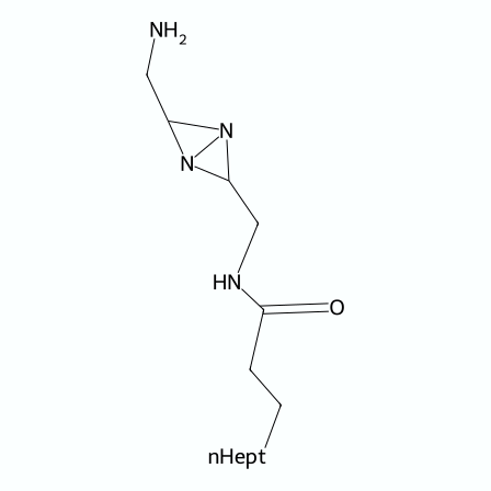 CCCCCCCCCC(=O)NCC1N2C(CN)N12